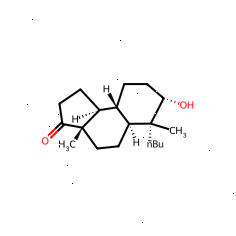 CCCC[C@@]1(C)[C@@H](O)CC[C@@H]2[C@@H]1CC[C@]1(C)C(=O)CC[C@@H]21